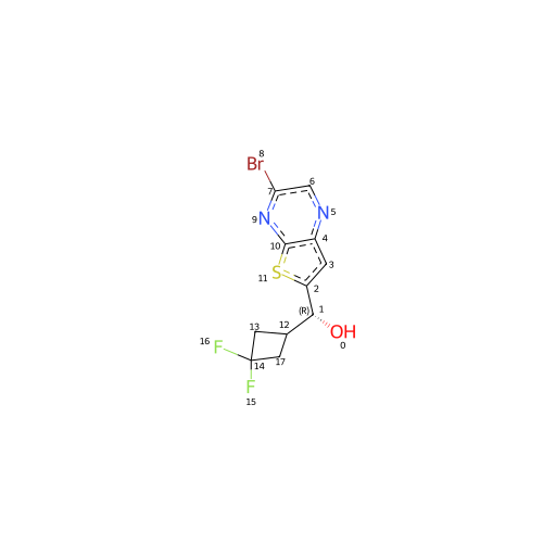 O[C@@H](c1cc2ncc(Br)nc2s1)C1CC(F)(F)C1